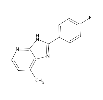 Cc1ccnc2[nH]c(-c3ccc(F)cc3)nc12